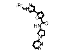 CC(C)Cn1cc(-c2ccc(C(=O)N[C@H]3CCN(c4cccnn4)C3)o2)cn1